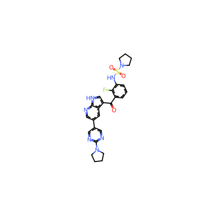 O=C(c1cccc(NS(=O)(=O)N2CCCC2)c1F)c1c[nH]c2ncc(-c3cnc(N4CCCC4)nc3)cc12